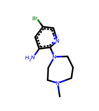 CN1CCCN(c2ncc(Br)cc2N)CC1